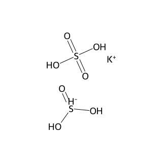 O=S(=O)(O)O.O=[SH-](O)O.[K+]